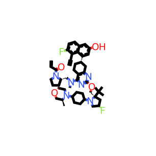 C#Cc1c(F)ccc2cc(O)cc([C@H]3CCc4c(nc(OC[C@]5(C(C)(C)C)C[C@@H](F)CN5C5CCC(N6CCOC[C@@H]6C)CC5)nc4N(C)C[C@@H]4CCCN4C(=O)C=C)C3)c12